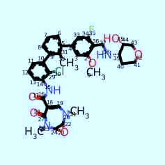 COc1cc(-c2cccc(-c3cccc(NC(=O)C4=CN(C)C5OC5N(C)C4=O)c3Cl)c2C)cc(F)c1CN[C@H]1CCOC[C@H]1O